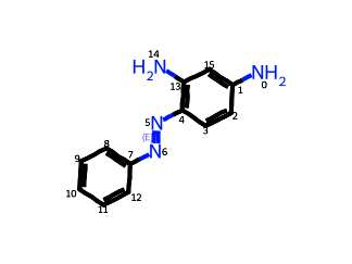 Nc1ccc(/N=N/c2ccccc2)c(N)c1